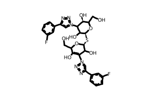 OCC1O[C@@H](S[C@@H]2OC(CO)[C@H](O)C(n3cc(-c4cccc(F)c4)nn3)C2O)C(O)C(n2cc(-c3cccc(F)c3)nn2)=C1O